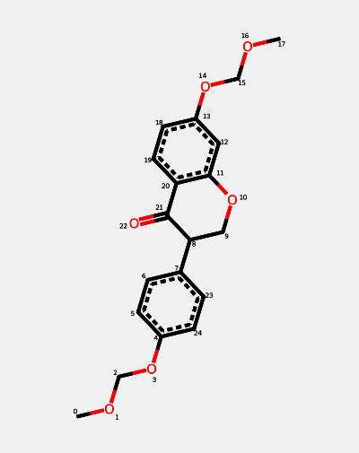 COCOc1ccc(C2COc3cc(OCOC)ccc3C2=O)cc1